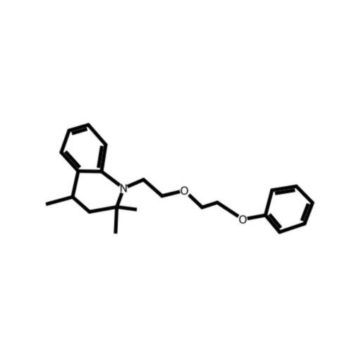 CC1CC(C)(C)N(CCOCCOc2ccccc2)c2ccccc21